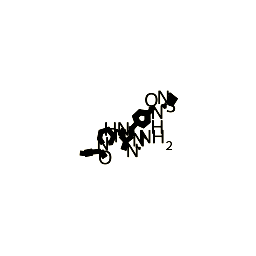 CC#CC(=O)N1CCC[C@@H](N2NC(c3ccc(C(=O)Nc4nccs4)cc3)=C3C2=CN=CN3N)C1